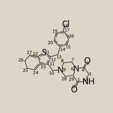 O=C1NCC(=O)N2CCN(Cc3c(Cc4ccc(Cl)cc4)sc4c3=CCCC=4)CC12